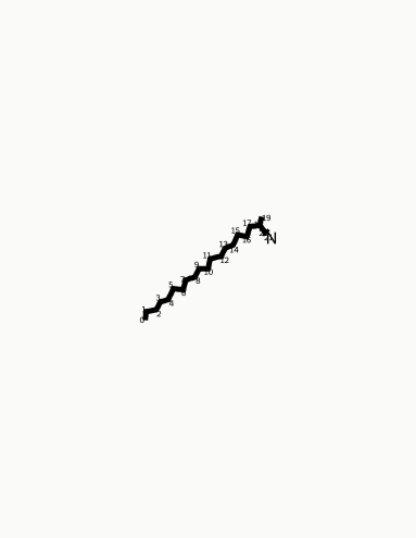 CCCCCCCCCCCCCCCCCCC(C)C#N